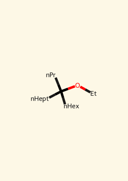 [CH2]CCC(CCCCCC)(CCCCCCC)OCC